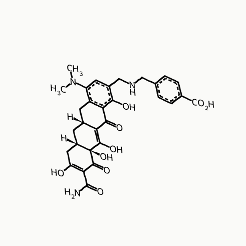 CN(C)c1cc(CNCc2ccc(C(=O)O)cc2)c(O)c2c1C[C@H]1C[C@H]3CC(O)=C(C(N)=O)C(=O)[C@@]3(O)C(O)=C1C2=O